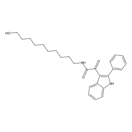 O=C(NCCCCCCCCCCO)C(=O)c1c(-c2ccccc2)[nH]c2ccccc12